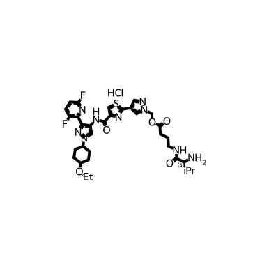 CCOC1CCC(n2cc(NC(=O)c3csc(-c4cnn(COC(=O)CCCNC(=O)[C@@H](N)C(C)C)c4)n3)c(-c3nc(F)ccc3F)n2)CC1.Cl